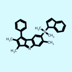 CC1=C(C)C(c2ccccc2)=C2C1=Nc1cc(C)c([Si](C)(C)C3C=Cc4ccccc43)cc12